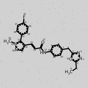 CCc1nnc(Cc2ccc(NC(=O)C=Cc3cnn(C)c3-c3ccc(F)cc3)cc2)o1